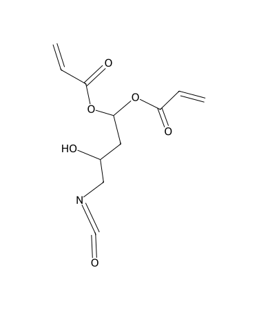 C=CC(=O)OC(CC(O)CN=C=O)OC(=O)C=C